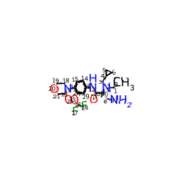 CCN(CC1CC1)[C@H](CN)C(=O)Nc1ccc(N2CCOCC2=O)c(OC(F)F)c1